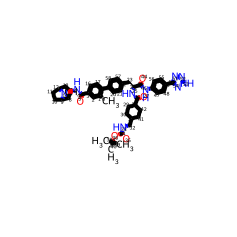 Cc1cc(C(=O)NC2CC3CCC(C2)N3C)ccc1-c1ccc(C[C@H](NC(=O)C2CCC(CNC(=O)OC(C)(C)C)CC2)C(=O)Nc2ccc(-c3nn[nH]n3)cc2)cc1